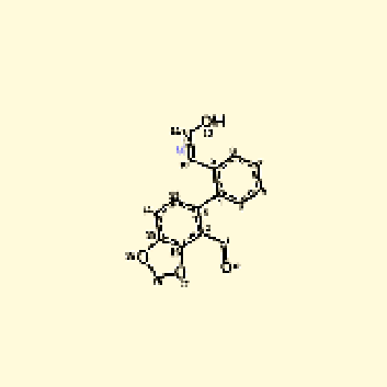 O=Cc1c(-c2ccccc2/C=N\O)ccc2c1OCO2